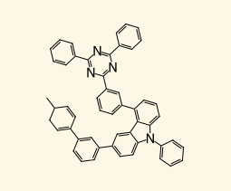 CC1C=CC(c2cccc(-c3ccc4c(c3)c3c(-c5cccc(-c6nc(-c7ccccc7)nc(-c7ccccc7)n6)c5)cccc3n4-c3ccccc3)c2)=CC1